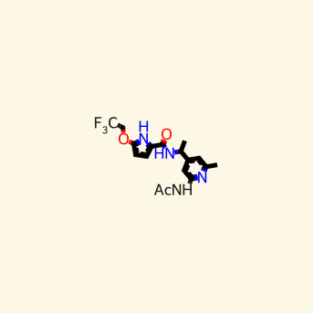 CC(=O)Nc1cc(C(C)NC(=O)c2ccc(OCC(F)(F)F)[nH]2)cc(C)n1